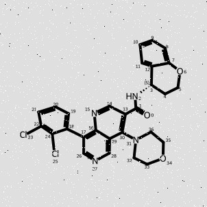 O=C(N[C@H]1CCOc2ccccc21)c1cnc2c(-c3cccc(Cl)c3Cl)cncc2c1N1CCOCC1